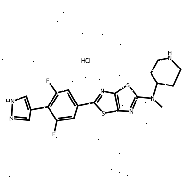 CN(c1nc2sc(-c3cc(F)c(-c4cn[nH]c4)c(F)c3)nc2s1)C1CCNCC1.Cl